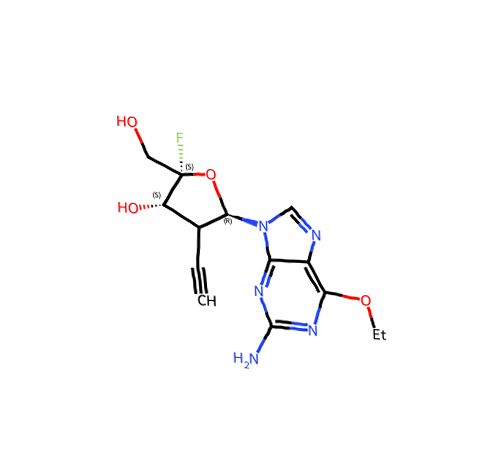 C#CC1[C@H](n2cnc3c(OCC)nc(N)nc32)O[C@](F)(CO)[C@H]1O